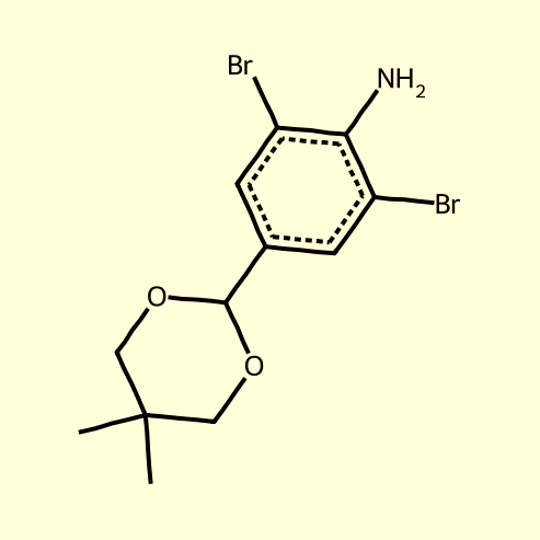 CC1(C)COC(c2cc(Br)c(N)c(Br)c2)OC1